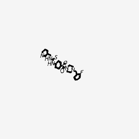 O=S(=O)(c1ccc(NC(=S)NCc2cccnc2)cc1)N1CCN(Cc2ccccc2F)CC1